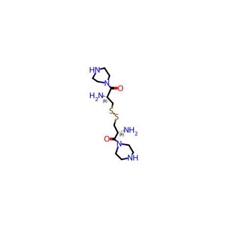 N[C@@H](CSSC[C@H](N)C(=O)N1CCNCC1)C(=O)N1CCNCC1